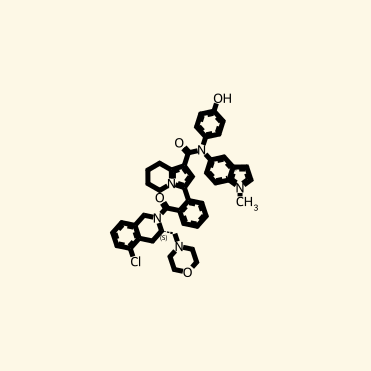 Cn1ccc2cc(N(C(=O)c3cc(-c4ccccc4C(=O)N4Cc5cccc(Cl)c5C[C@H]4CN4CCOCC4)n4c3CCCC4)c3ccc(O)cc3)ccc21